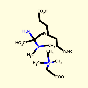 CCCC(N)(C(=O)O)N(C)C.CCCCCCCCCCCCCCCC(=O)O.C[N+](C)(C)CC(=O)[O-]